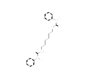 CC(=O)N(C(=O)NCCCCCCNC(=O)N(C(C)=O)c1ccccc1)c1ccccc1